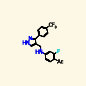 CC(=O)c1ccc(NCc2c[nH]nc2-c2ccc(C(F)(F)F)cc2)cc1F